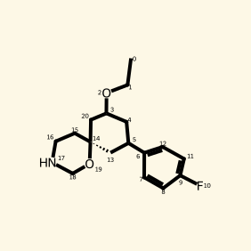 CCOC1CC(c2ccc(F)cc2)C[C@]2(CCNCO2)C1